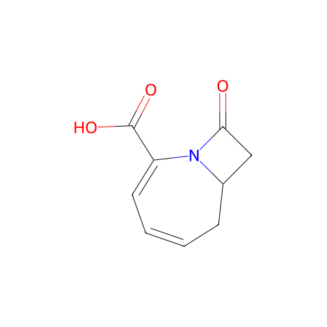 O=C(O)C1=CC=CCC2CC(=O)N12